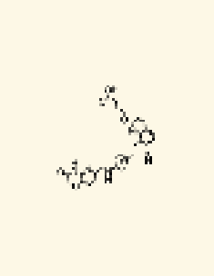 N#Cc1cnc2ccc(OCCCC(=O)O)nc2c1CCC12CCC(NCc3ccc4c(n3)NC(=O)CO4)(CC1)CO2